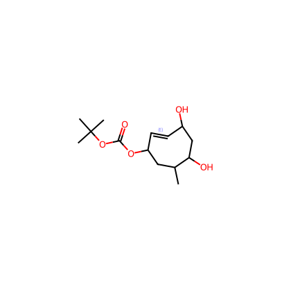 CC1CC(OC(=O)OC(C)(C)C)/C=C/C(O)CC1O